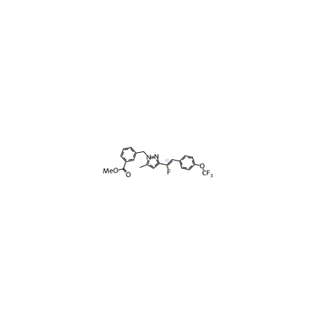 COC(=O)c1cccc(Cn2nc(/C(F)=C/c3ccc(OC(F)(F)F)cc3)cc2C)c1